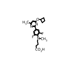 Cc1cc(OC2CCC2)nc(-c2cc(F)c(N(C)CCCC(=O)O)c(F)c2)n1